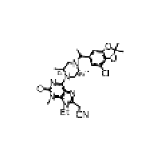 CCn1c(CC#N)nc2c(N3C[C@@H](C)N(C(C)c4cc(Cl)c5c(c4)OC(C)(C)O5)C[C@@H]3C)nc(=O)n(C)c21